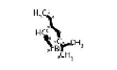 C#CCCCC.CCCCCC(C)C